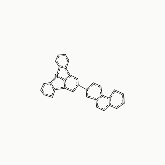 c1ccc2c(c1)ccc1cc(-c3cc4c5ccccc5n5c6ccccc6c(c3)c45)ccc12